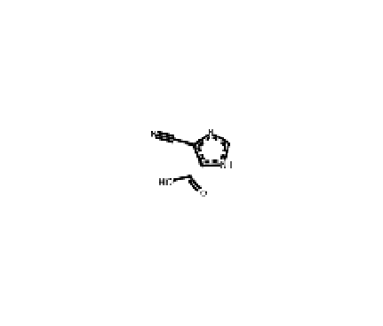 N#Cc1c[nH]cn1.O=CO